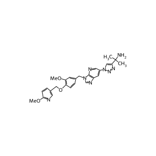 COc1ccc(COc2ccc(Cn3cnc4cc(-n5cc(C(C)(C)N)nn5)cnc43)cc2OC)cn1